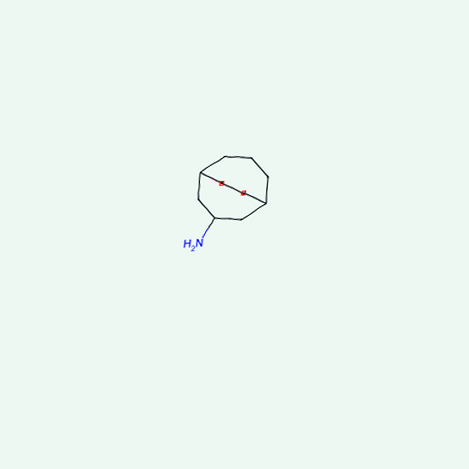 NC1CC2CCCCC(CCC2)C1